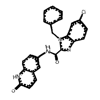 O=C(Nc1ccc2[nH]c(=O)ccc2c1)c1nc2ccc(Cl)cc2n1Cc1ccccc1